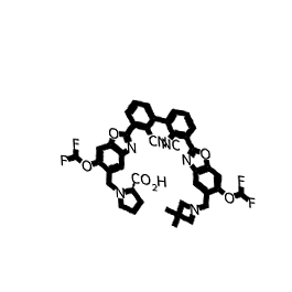 CC1(C)CN(Cc2cc3nc(-c4cccc(-c5cccc(-c6nc7cc(CN8CCC[C@H]8C(=O)O)c(OC(F)F)cc7o6)c5C#N)c4C#N)oc3cc2OC(F)F)C1